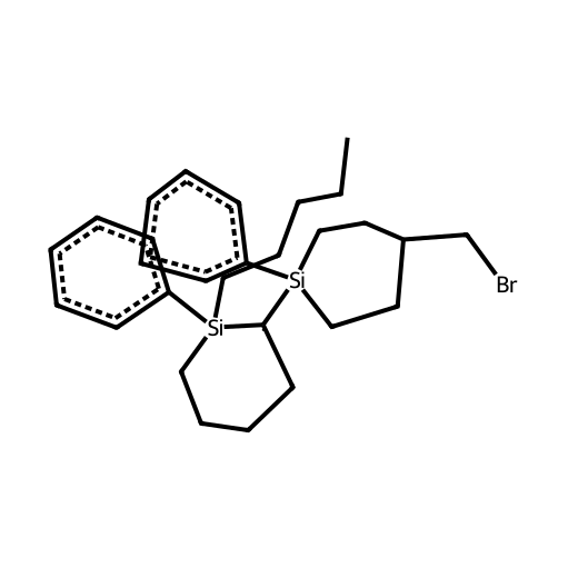 CCCCC[Si]1(c2ccccc2)CCCC[C]1[Si]1(c2ccccc2)CCC(CBr)CC1